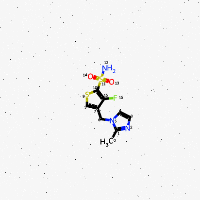 Cc1nccn1Cc1csc(S(N)(=O)=O)c1F